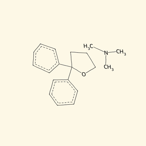 CN(C)C.c1ccc(C2(c3ccccc3)CCCO2)cc1